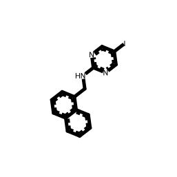 Ic1cnc(NCc2cccc3ccccc23)nc1